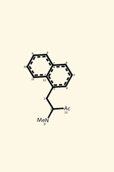 CNC(Cc1cccc2ccccc12)C(C)=O